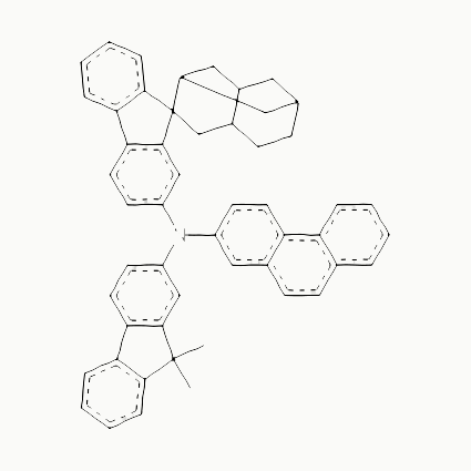 CC1(C)c2ccccc2-c2ccc(N(c3ccc4c(c3)C3(CC5CCC6CC5CC3C6)c3ccccc3-4)c3ccc4c(ccc5ccccc54)c3)cc21